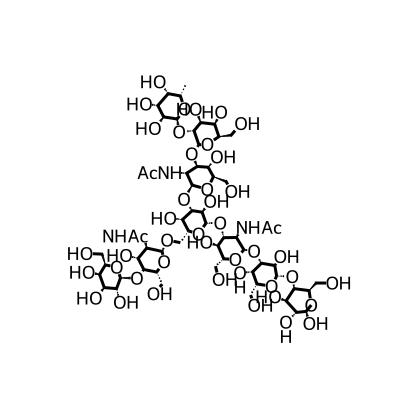 CC(=O)N[C@H]1[C@H](OC[C@H]2O[C@@H](O[C@H]3[C@H](O)[C@@H](CO)O[C@@H](O[C@H]4[C@@H](O)[C@@H](CO)O[C@@H](O[C@H]5[C@H](O)[C@@H](O)[C@H](O)O[C@@H]5CO)[C@@H]4O)[C@@H]3NC(C)=O)[C@H](O)[C@@H](O[C@@H]3O[C@H](CO)[C@@H](O)[C@H](O[C@@H]4O[C@H](CO)[C@H](O)[C@H](O)[C@H]4O[C@@H]4O[C@@H](C)[C@@H](O)[C@@H](O)[C@@H]4O)[C@H]3NC(C)=O)[C@H]2O)O[C@H](CO)[C@@H](O[C@@H]2O[C@H](CO)[C@H](O)[C@H](O)[C@H]2O)[C@@H]1O